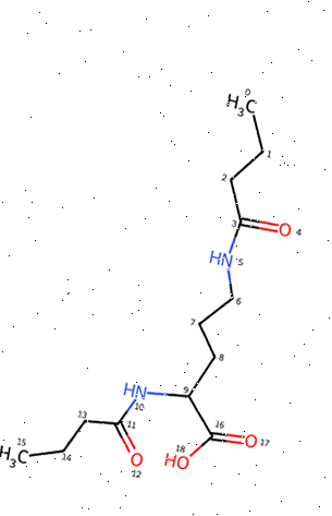 CCCC(=O)NCCCC(NC(=O)CCC)C(=O)O